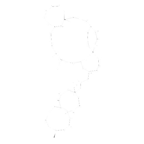 CCCCC1CCCC2CCCCCCC(CCCC)(CCCC3CCCC4(CCC3)CCCC(CCCC3(CCCC)CCC/C5=C(/CCC[C@@H](C)CCCC5)CCC3)CC(CSC1=O)C4)C2